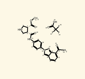 COC(=O)[C@H]1CNC[C@H]1C(=O)Nc1ccc(-n2cc3cccc(C(N)=O)c3n2)cc1.O=C(O)C(F)(F)F